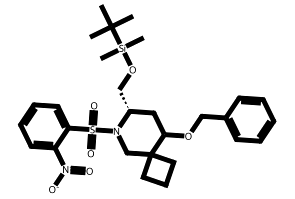 CC(C)(C)[Si](C)(C)OC[C@@H]1CC(OCc2ccccc2)C2(CCC2)CN1S(=O)(=O)c1ccccc1[N+](=O)[O-]